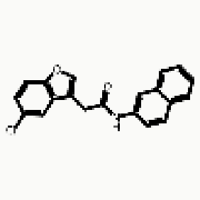 O=C([CH]c1coc2ccc(Cl)cc12)Nc1ccc2ccccc2c1